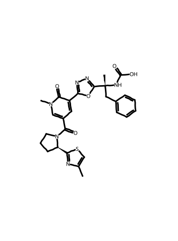 Cc1csc([C@H]2CCCN2C(=O)c2cc(-c3nnc([C@@](C)(Cc4ccccc4)NC(=O)O)o3)c(=O)n(C)c2)n1